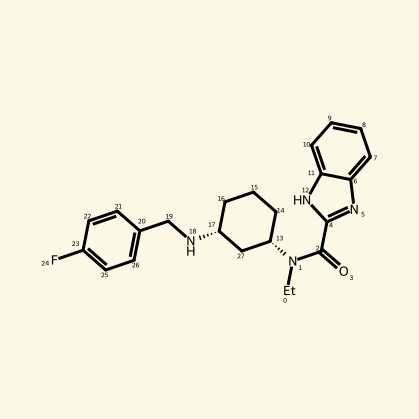 CCN(C(=O)c1nc2ccccc2[nH]1)[C@H]1CCC[C@@H](NCc2ccc(F)cc2)C1